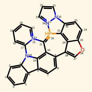 c1ccc2c(c1)c1ccc3c4c([n+]5ccccc5n2c41)=[PH]1c2c(ccc4occ-3c24)-n2ccc[n+]21